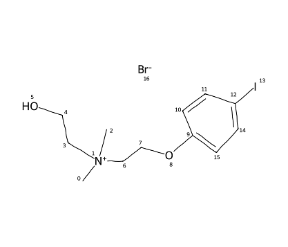 C[N+](C)(CCO)CCOc1ccc(I)cc1.[Br-]